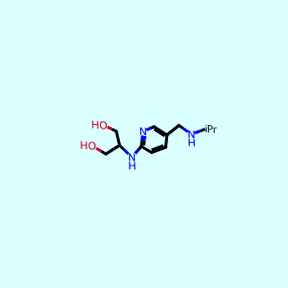 CC(C)NCc1ccc(NC(CO)CO)nc1